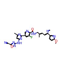 C=N/C(=C\C=C(/C)CNC(=O)c1ncc(-c2nc(C)cc(Nc3noc(C#N)n3)n2)cc1F)c1ccc(OC)nc1